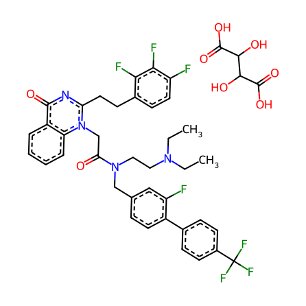 CCN(CC)CCN(Cc1ccc(-c2ccc(C(F)(F)F)cc2)c(F)c1)C(=O)Cn1c(CCc2ccc(F)c(F)c2F)nc(=O)c2ccccc21.O=C(O)C(O)C(O)C(=O)O